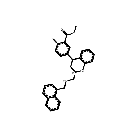 COC(=O)c1cc(C2C[C@H](CNCc3cccc4ccccc34)Oc3ccccc32)ccc1C